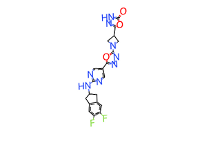 O=c1[nH]nc(C2CN(c3nnc(-c4cnc(NC5Cc6cc(F)c(F)cc6C5)nc4)o3)C2)o1